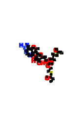 CCC(=O)SCCOP(=O)(OCCSC(C)=O)OC[C@H]1O[C@@H](c2coc3c(N)ncnc23)[C@](C)(O)[C@@H]1O